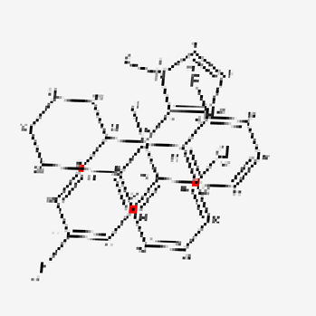 Cn1ccnc1S(C)(c1ccc(F)cc1)(c1ccccc1F)(c1ccccc1Cl)C1CCCCC1